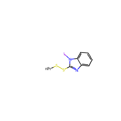 CCCSSc1nc2ccccc2n1I